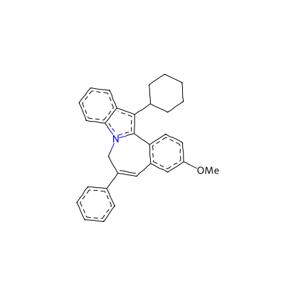 COc1ccc2c(c1)C=C(c1ccccc1)Cn1c-2c(C2CCCCC2)c2ccccc21